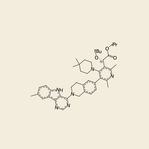 Cc1ccc2[nH]c3c(N4CCc5cc(-c6c(C)nc(C)c([C@H](OC(C)(C)C)C(=O)OC(C)C)c6N6CCC(C)(C)CC6)ccc5C4)ncnc3c2c1